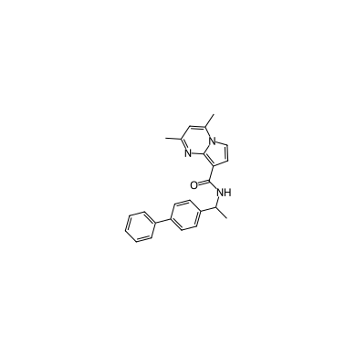 Cc1cc(C)n2ccc(C(=O)NC(C)c3ccc(-c4ccccc4)cc3)c2n1